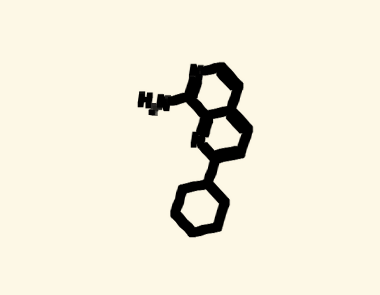 Nc1nccc2ccc(C3CCCCC3)nc12